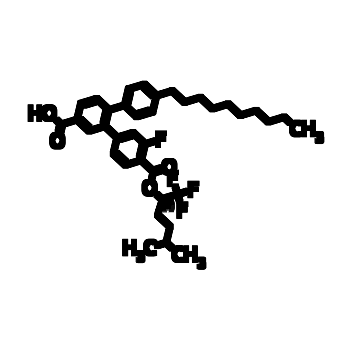 CCCCCCCCCCc1ccc(-c2ccc(C(=O)O)cc2-c2ccc(C(=O)O[C@H](CCC(C)C)C(F)(F)F)c(F)c2)cc1